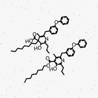 CCCCCCCCC1(C(=O)O)C(C)=C(Cc2cccc(Oc3ccccc3)c2)N=C(CCC)C1O.CCCCCCCCOC(=O)c1c(C)c(Cc2cccc(Oc3ccccc3)c2)nc(CCC)c1O